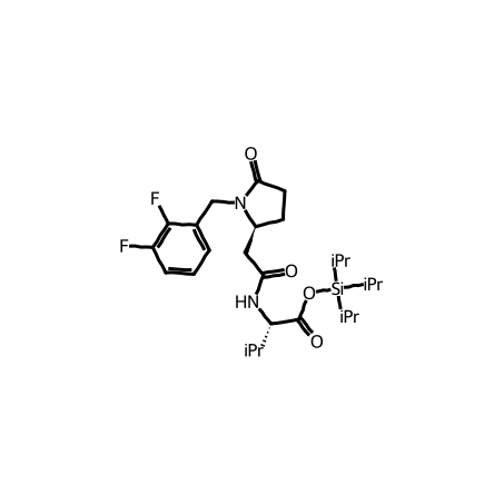 CC(C)[C@H](NC(=O)C[C@@H]1CCC(=O)N1Cc1cccc(F)c1F)C(=O)O[Si](C(C)C)(C(C)C)C(C)C